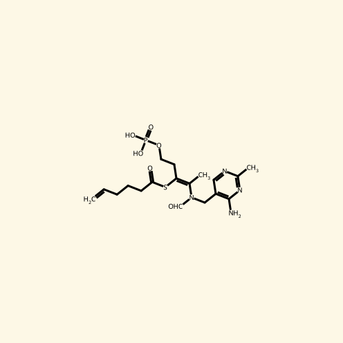 C=CCCCC(=O)S/C(CCOP(=O)(O)O)=C(/C)N(C=O)Cc1cnc(C)nc1N